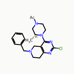 CC(=O)N1CCN(c2nc(Cl)nc3c2CN(Cc2ccccc2)CC3)[C@H](C)C1